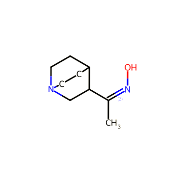 C/C(=N/O)C1CN2CCC1CC2